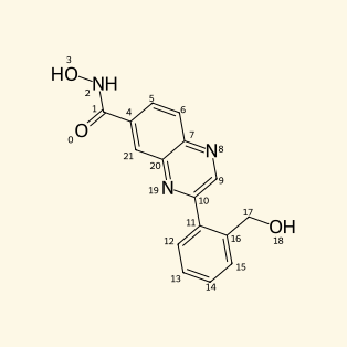 O=C(NO)c1ccc2ncc(-c3ccccc3CO)nc2c1